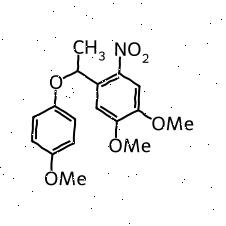 COc1ccc(OC(C)c2cc(OC)c(OC)cc2[N+](=O)[O-])cc1